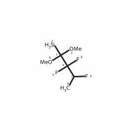 COC([SiH3])(OC)C(F)(F)C(C)F